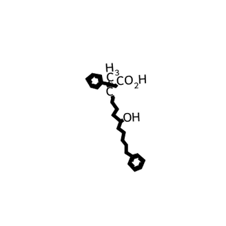 C[C@@](CCCCCC(O)CCCCCc1ccccc1)(CC(=O)O)c1ccccc1